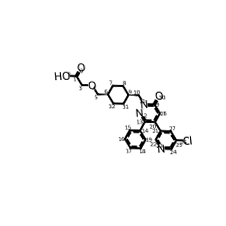 O=C(O)COC[C@H]1CC[C@@H](Cn2nc(-c3ccccc3)c(-c3cncc(Cl)c3)cc2=O)CC1